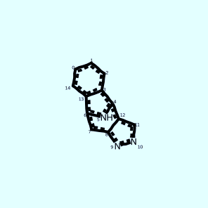 c1ccc2c3[nH]c(cc4nncc3-4)c2c1